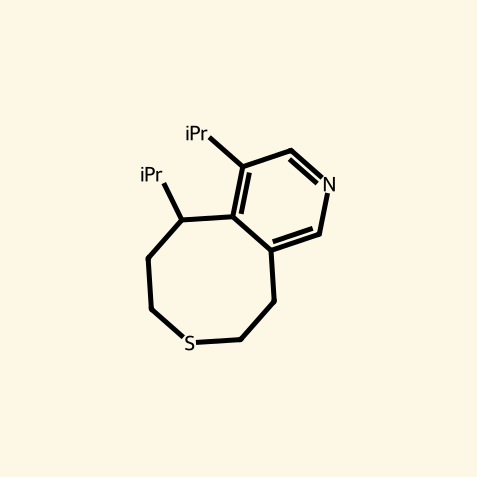 CC(C)c1cncc2c1C(C(C)C)CCSCC2